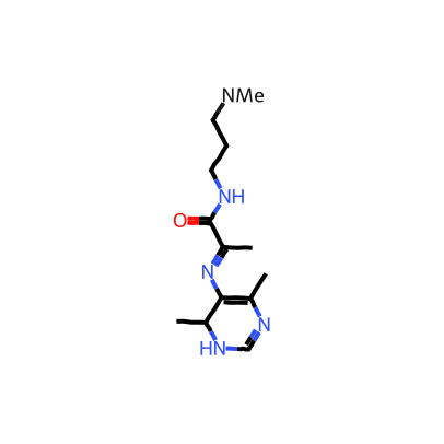 CNCCCNC(=O)/C(C)=N/C1=C(C)N=CNC1C